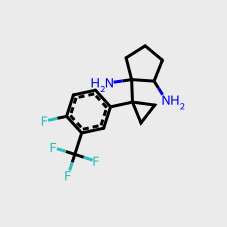 NC1CCCC1(N)C1(c2ccc(F)c(C(F)(F)F)c2)CC1